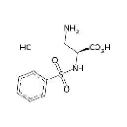 Cl.NC[C@H](NS(=O)(=O)c1ccccc1)C(=O)O